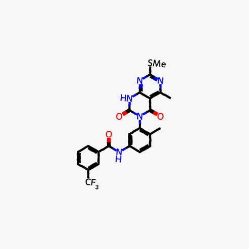 CSc1nc(C)c2c(=O)n(-c3cc(NC(=O)c4cccc(C(F)(F)F)c4)ccc3C)c(=O)[nH]c2n1